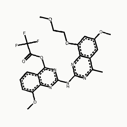 COCCOc1cc(OC)cc2c(C)nc(Nc3nc(OC(=O)C(F)(F)F)c4cccc(OC)c4n3)nc12